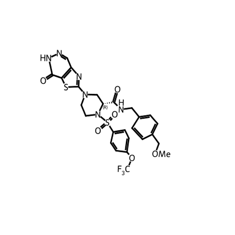 COCc1ccc(CNC(=O)[C@H]2CN(c3nc4cn[nH]c(=O)c4s3)CCN2S(=O)(=O)c2ccc(OC(F)(F)F)cc2)cc1